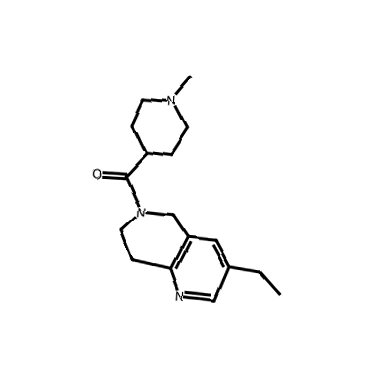 CCc1cnc2c(c1)CN(C(=O)C1CCN(C)CC1)CC2